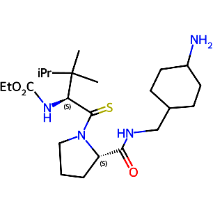 CCOC(=O)N[C@H](C(=S)N1CCC[C@H]1C(=O)NCC1CCC(N)CC1)C(C)(C)C(C)C